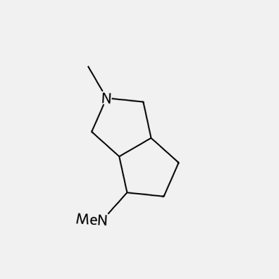 CNC1CCC2CN(C)CC21